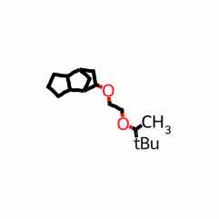 CC(OCCOC1CC2CC1C1CCCC21)C(C)(C)C